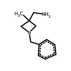 CC1(CN)CN(Cc2ccccc2)C1